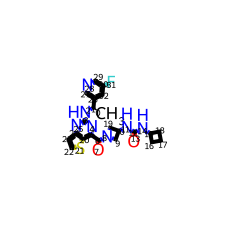 C[C@H](Nc1nc(C(=O)N2CC(NC(=O)NC3CCC3)C2)c2sccc2n1)c1cncc(F)c1